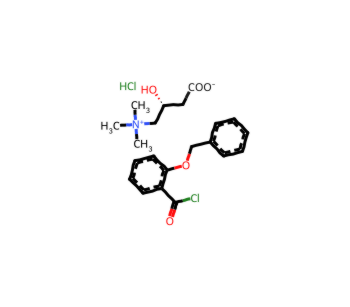 C[N+](C)(C)C[C@H](O)CC(=O)[O-].Cl.O=C(Cl)c1ccccc1OCc1ccccc1